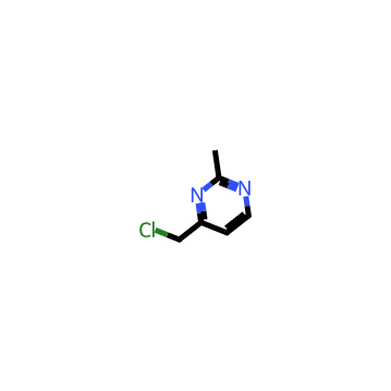 Cc1nccc(CCl)n1